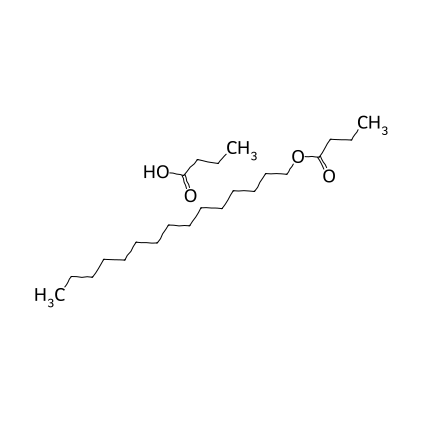 CCCC(=O)O.CCCCCCCCCCCCCCCOC(=O)CCC